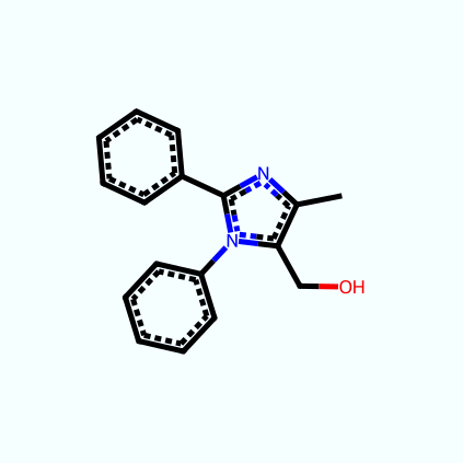 Cc1nc(-c2ccccc2)n(-c2ccccc2)c1CO